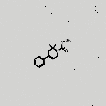 CC(C)(C)OC(=O)N1CC=C(c2ccccc2)CC1(C)C